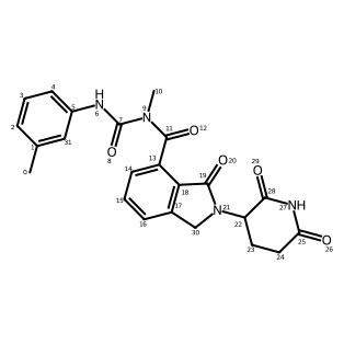 Cc1cccc(NC(=O)N(C)C(=O)c2cccc3c2C(=O)N(C2CCC(=O)NC2=O)C3)c1